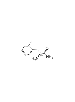 NC(=O)[C@@H](N)Cc1ccccc1I